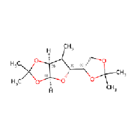 CC1[C@H]([C@@H]2COC(C)(C)O2)O[C@H]2OC(C)(C)O[C@@H]12